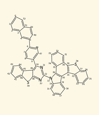 c1ccc2cc(-c3ccc(-c4nc(-n5c6ccccc6c6c7c8ccccc8sc7c7ccccc7c65)nc5sc6ccccc6c45)cc3)ccc2c1